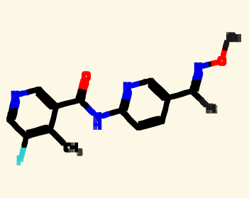 CCC(=NOC(C)CC)c1ccc(NC(=O)c2cncc(F)c2C)nc1